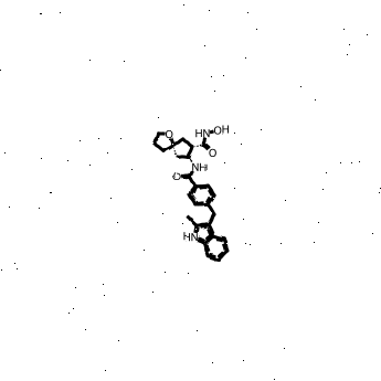 Cc1[nH]c2ccccc2c1Cc1ccc(C(=O)N[C@@H]2C[C@@]3(CCCO3)C[C@@H]2C(=O)NO)cc1